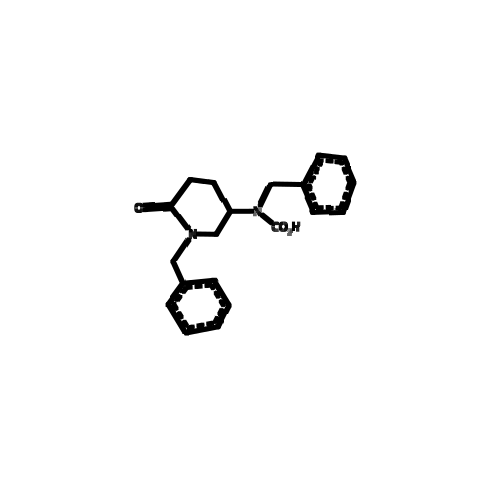 O=C1CCC(N(Cc2ccccc2)C(=O)O)CN1Cc1ccccc1